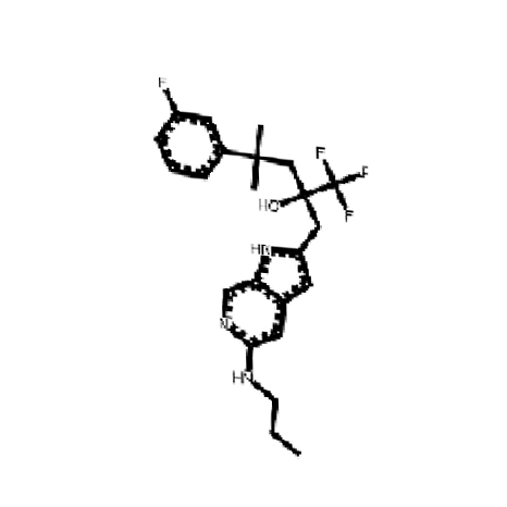 CCCNc1cc2cc(CC(O)(CC(C)(C)c3cccc(F)c3)C(F)(F)F)[nH]c2cn1